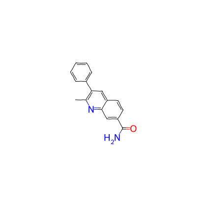 Cc1nc2cc(C(N)=O)ccc2cc1-c1ccccc1